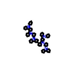 c1ccc(-n2c3ccccc3c3cc4c5c(-c6ccc7c(c6)c6ccccc6n7-c6cccc(-n7c8ccccc8c8c9c%10ccccc%10n(-c%10ccccc%10)c9ccc87)c6)cccc5n(-c5cccc(-n6c7ccccc7c7ccccc76)c5)c4cc32)cc1